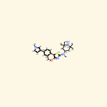 CN(c1nc2c(s1)-c1ccc(-c3ccn(C)c3)cc1CO2)C1CC(C)(C)NC(C)(C)C1